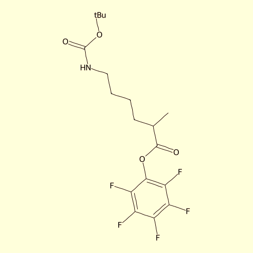 CC(CCCCNC(=O)OC(C)(C)C)C(=O)Oc1c(F)c(F)c(F)c(F)c1F